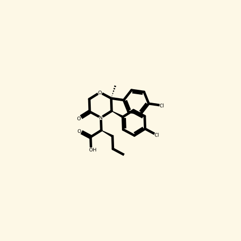 CCC[C@@H](C(=O)O)N1C(=O)CO[C@@](C)(c2ccc(Cl)cc2)[C@H]1c1ccc(Cl)cc1